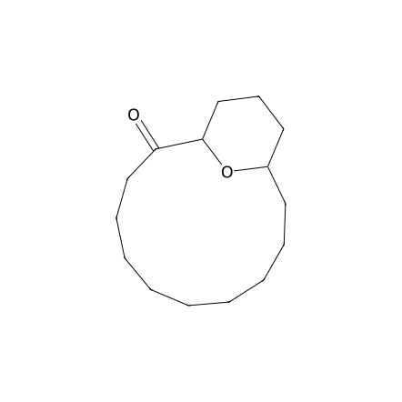 O=C1CCCCCCCCCC2CCCC1O2